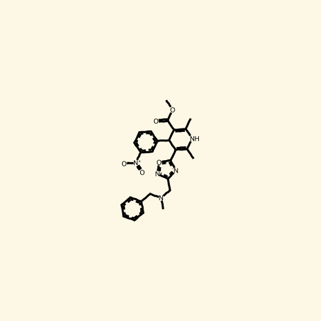 COC(=O)C1=C(C)NC(C)=C(c2nc(CN(C)Cc3ccccc3)no2)C1c1cccc([N+](=O)[O-])c1